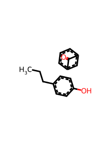 CCCc1ccc(O)cc1.O=C1c2cccc1c2